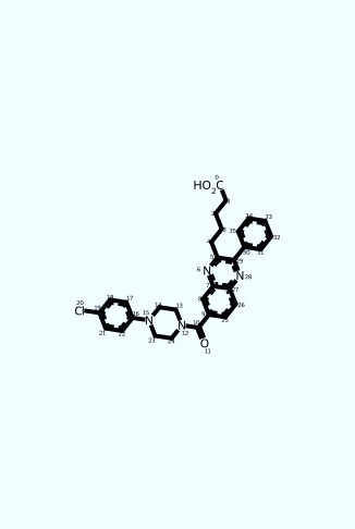 O=C(O)CCCCc1nc2cc(C(=O)N3CCN(c4ccc(Cl)cc4)CC3)ccc2nc1-c1ccccc1